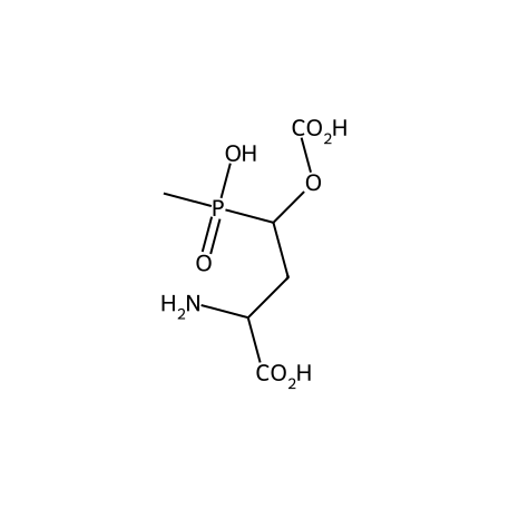 CP(=O)(O)C(CC(N)C(=O)O)OC(=O)O